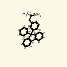 CC(N)Cc1cccc(C2(c3ccccc3)c3ccccc3-c3ccccc32)c1